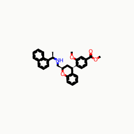 COC(=O)c1ccc([C@H]2C[C@H](CN[C@H](C)c3cccc4ccccc34)Oc3ccccc32)c(OC)c1